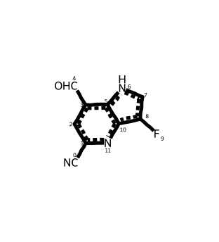 N#Cc1cc(C=O)c2[nH]cc(F)c2n1